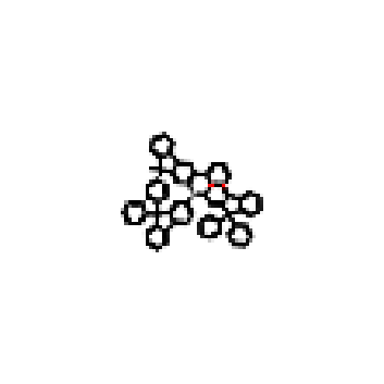 CC1(C)c2ccccc2-c2cc(-c3ccccc3)c(N(c3ccc4c(c3)C(c3ccccc3)(c3ccccc3)c3ccccc3-4)C3C=C4C(=CC3)c3ccccc3C4(c3ccccc3)c3ccccc3)cc21